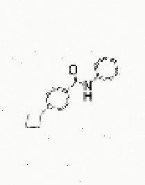 O=C(Nc1ccccc1)c1ccc(C2CCC2)cc1